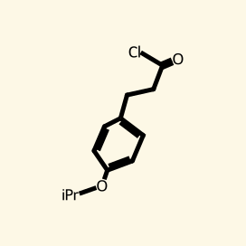 CC(C)Oc1ccc(CCC(=O)Cl)cc1